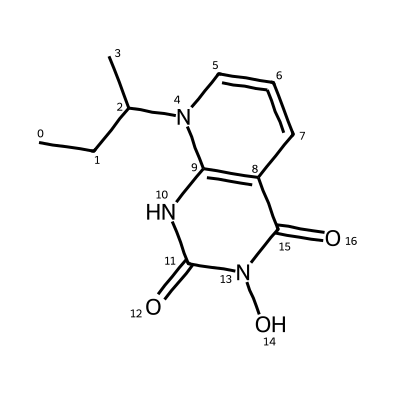 CCC(C)N1C=C=Cc2c1[nH]c(=O)n(O)c2=O